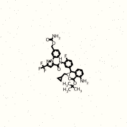 CC(C)(C)OC(=O)c1c(N)cccc1C(OCC1CC1)c1ccc(F)c(NC(=O)c2cc(C(F)(F)F)nn2-c2cccc(COC(N)=O)c2)c1